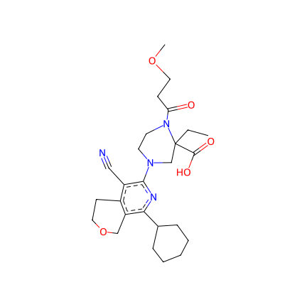 CCC1(C(=O)O)CN(c2nc(C3CCCCC3)c3c(c2C#N)CCOC3)CCN1C(=O)CCOC